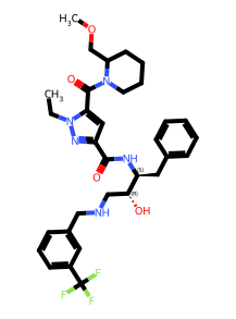 CCn1nc(C(=O)N[C@@H](Cc2ccccc2)[C@H](O)CNCc2cccc(C(F)(F)F)c2)cc1C(=O)N1CCCCC1COC